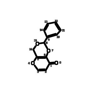 O=c1ccoc2c1OC(c1ccccc1)OC2